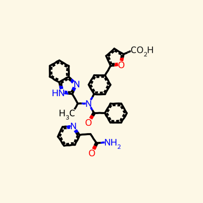 CC(c1nc2ccccc2[nH]1)N(C(=O)c1ccccc1)c1ccc(-c2ccc(C(=O)O)o2)cc1.NC(=O)Cc1ccccn1